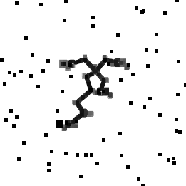 CCC(CC)(CC)CCCO[SiH3]